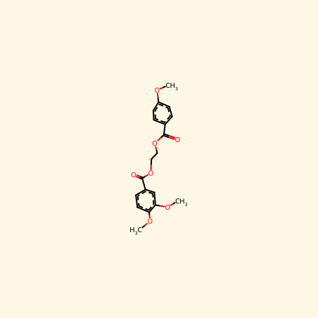 COc1ccc(C(=O)OC[CH]OC(=O)c2ccc(OC)c(OC)c2)cc1